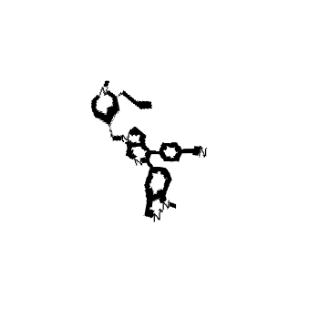 C#CC[C@@H]1C[C@H](Cn2ccc3c(-c4ccc(C#N)cc4)c(-c4ccc5c(cnn5C)c4)ncc32)CCN1C